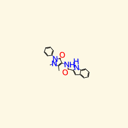 Cc1c(NC(=O)c2cc3ccccc3[nH]2)c(=O)n(-c2ccccc2)n1C